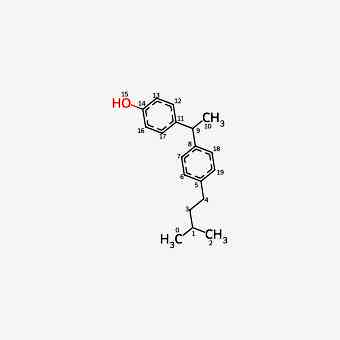 CC(C)CCc1ccc(C(C)c2ccc(O)cc2)cc1